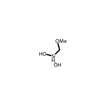 COC[SiH](O)O